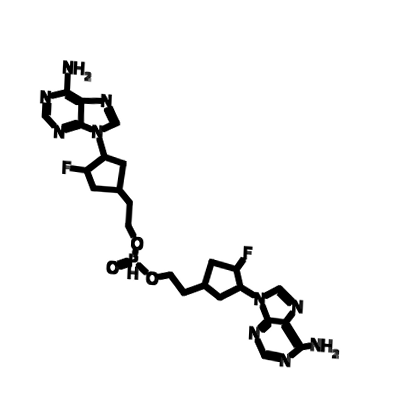 Nc1ncnc2c1ncn2C1CC(CCO[PH](=O)OCCC2CC(F)C(n3cnc4c(N)ncnc43)C2)CC1F